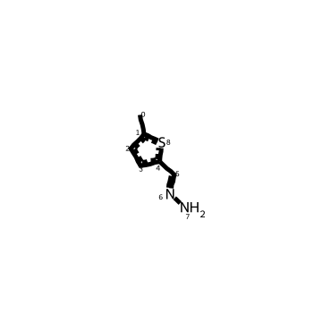 Cc1ccc(C=NN)s1